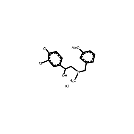 COc1cccc(CN(C)CC(O)c2ccc(Cl)c(Cl)c2)c1.Cl